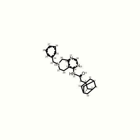 O=C(CC12CC3CC(CC(C3)C1)C2)Nc1ncnc2c1CCN(Cc1ccccc1)C2